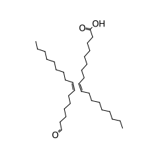 CCCCCCCC/C=C\CCCCCC=O.CCCCCCCC/C=C\CCCCCCCC(=O)O